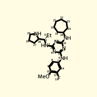 CC[C@H](Nc1nc(Nc2ccc(OC)c(F)c2)nc(NC2CCCCCC2)n1)C1CCCN1